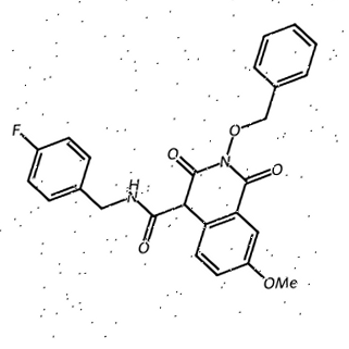 COc1ccc2c(c1)C(=O)N(OCc1ccccc1)C(=O)C2C(=O)NCc1ccc(F)cc1